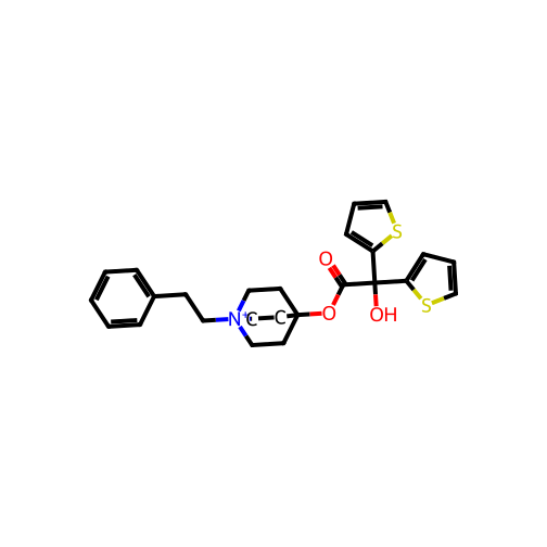 O=C(OC12CC[N+](CCc3ccccc3)(CC1)CC2)C(O)(c1cccs1)c1cccs1